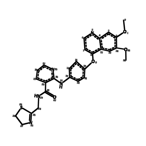 COc1cc2nccc(Oc3ccc(Nc4ncccc4C(=O)NCC4=NCCS4)cc3)c2cc1OC